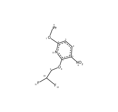 CC(C)Oc1ccc([N+](=O)[O-])c(OCC(F)F)n1